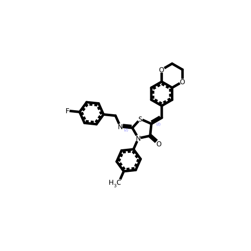 Cc1ccc(N2C(=O)/C(=C/c3ccc4c(c3)OCCO4)S/C2=N\Cc2ccc(F)cc2)cc1